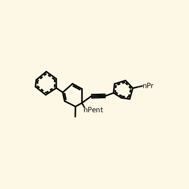 CCCCCC1(C#Cc2ccc(CCC)cc2)C=CC(c2ccccc2)=CC1C